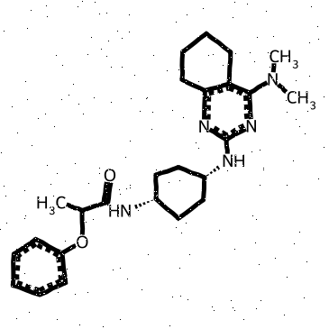 CC(Oc1ccccc1)C(=O)N[C@H]1CC[C@@H](Nc2nc3c(c(N(C)C)n2)CCCC3)CC1